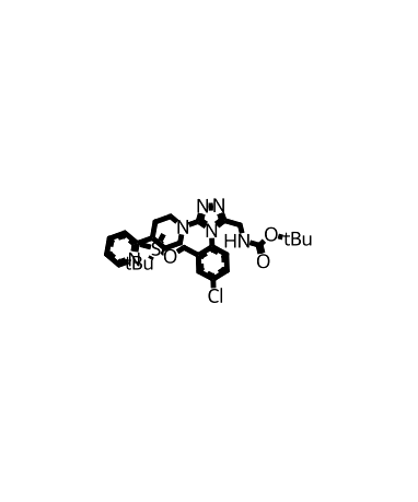 CC(C)(C)OC(=O)NCc1nnc(N2CCC(c3ccccn3)CC2)n1-c1ccc(Cl)cc1CO[Si](C)(C)C(C)(C)C